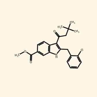 COC(=O)c1ccc2c(C(=O)CC(C)(C)C)c(Cc3ccccc3Cl)[nH]c2c1